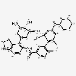 C[C@H]1CN(c2c(NC(=O)c3ccc(F)c(-c4c(F)cc(OC5CCCOC5)cc4F)n3)cnc3c2CCN3)C[C@@H](N)[C@@H]1O